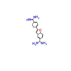 N=C(N)C1=CC=C(C2=CC3C=C(C(N)N)C=CC3O2)CC1